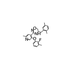 Cc1ccc(C)c(CC2CON=C(c3cc(C)ncc3Oc3cccc(C)c3F)N2)c1